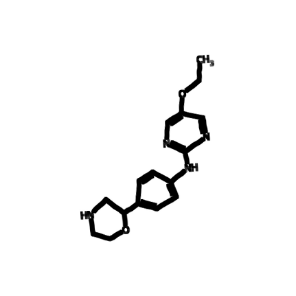 CCOc1cnc(Nc2ccc(C3CNCCO3)cc2)nc1